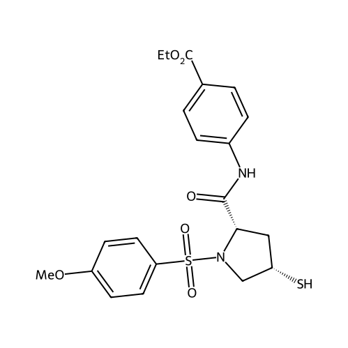 CCOC(=O)c1ccc(NC(=O)[C@@H]2C[C@H](S)CN2S(=O)(=O)c2ccc(OC)cc2)cc1